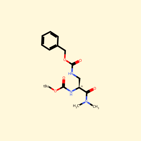 CN(C)C(=O)[C@H](CNC(=O)OCc1ccccc1)NC(=O)OC(C)(C)C